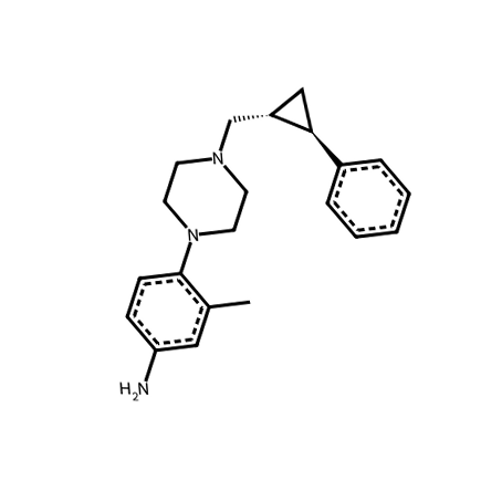 Cc1cc(N)ccc1N1CCN(C[C@@H]2C[C@H]2c2ccccc2)CC1